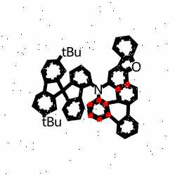 CC(C)(C)c1ccc2c(c1)C1(c3cc(C(C)(C)C)ccc3-2)c2ccccc2-c2c(N(c3ccc4oc5ccccc5c4c3)c3ccccc3-c3ccccc3-c3ccccc3-c3ccccc3)cccc21